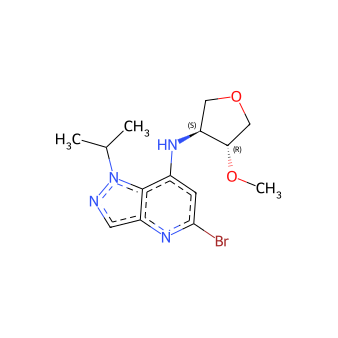 CO[C@H]1COC[C@@H]1Nc1cc(Br)nc2cnn(C(C)C)c12